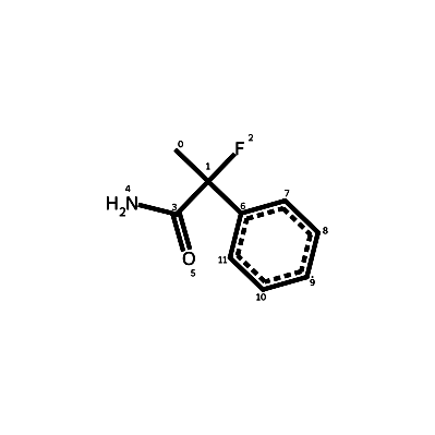 CC(F)(C(N)=O)c1cc[c]cc1